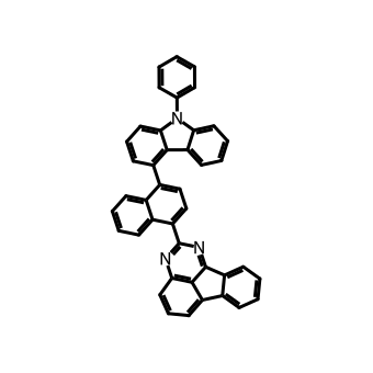 c1ccc(-n2c3ccccc3c3c(-c4ccc(-c5nc6c7c(cccc7n5)-c5ccccc5-6)c5ccccc45)cccc32)cc1